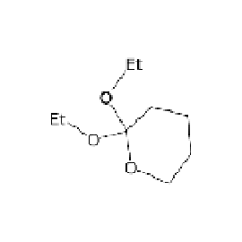 CCOC1(OCC)CCCCO1